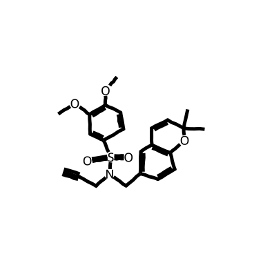 C#CCN(Cc1ccc2c(c1)C=CC(C)(C)O2)S(=O)(=O)c1ccc(OC)c(OC)c1